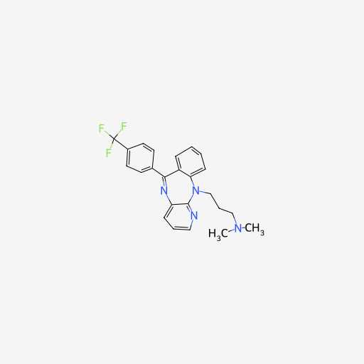 CN(C)CCCN1c2ccccc2C(c2ccc(C(F)(F)F)cc2)=Nc2cccnc21